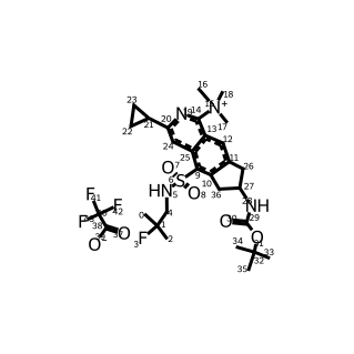 CC(C)(F)CNS(=O)(=O)c1c2c(cc3c([N+](C)(C)C)nc(C4CC4)cc13)CC(NC(=O)OC(C)(C)C)C2.O=C([O-])C(F)(F)F